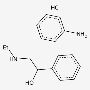 CCNCC(O)c1ccccc1.Cl.Nc1ccccc1